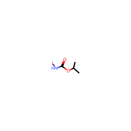 CC(C)OC(=O)NI